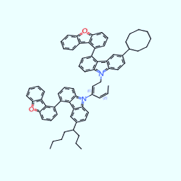 C/C=C\C(=C/Cn1c2ccc(C3CCCCCCC3)cc2c2c(-c3cccc4oc5ccccc5c34)cccc21)n1c2ccc(C(CCC)CCCC)cc2c2c(-c3cccc4oc5ccccc5c34)cccc21